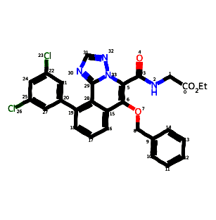 CCOC(=O)CNC(=O)c1c(OCc2ccccc2)c2cccc(-c3cc(Cl)cc(Cl)c3)c2c2ncnn12